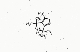 CC1=C(C(C)(C)C)C(C(C)(C)N)=NC1